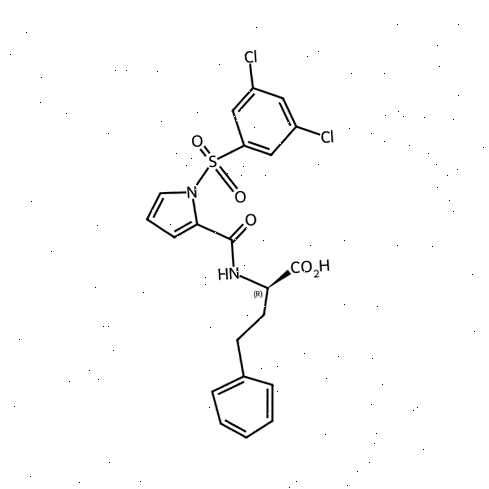 O=C(N[C@H](CCc1ccccc1)C(=O)O)c1cccn1S(=O)(=O)c1cc(Cl)cc(Cl)c1